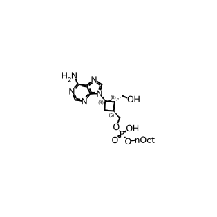 CCCCCCCCOP(=O)(O)OC[C@H]1C[C@@H](n2cnc3c(N)ncnc32)[C@@H]1CO